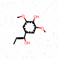 CC=C(O)c1cc(OC)c(O)c(OC)c1